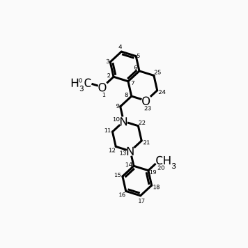 COc1cccc2c1C(CN1CCN(c3ccccc3C)CC1)OCC2